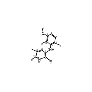 COc1ccc(C)c(Nc2cc(C)c(C)nc2Br)c1C